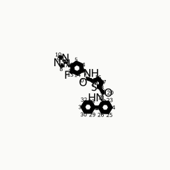 O=C(Nc1ccc(-n2cncn2)c(F)c1)c1ccc(C(=O)Nc2ccccc2-c2ccccc2)s1